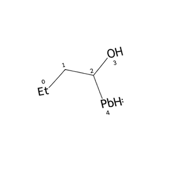 CCC[CH](O)[PbH]